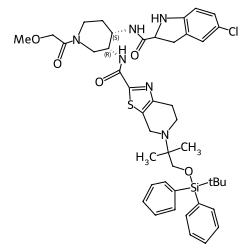 COCC(=O)N1CC[C@H](NC(=O)C2Cc3cc(Cl)ccc3N2)[C@H](NC(=O)c2nc3c(s2)CN(C(C)(C)CO[Si](c2ccccc2)(c2ccccc2)C(C)(C)C)CC3)C1